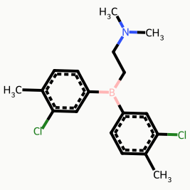 Cc1ccc(B(CCN(C)C)c2ccc(C)c(Cl)c2)cc1Cl